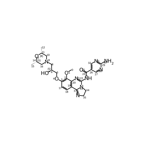 COc1c(OC[C@@H](O)CN2C[C@@H](C)O[C@@H](C)C2)ccc2c1N=C(NC(=O)c1cnc(N)nc1)N1CCN=C21